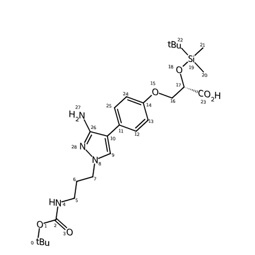 CC(C)(C)OC(=O)NCCCn1cc(-c2ccc(OC[C@H](O[Si](C)(C)C(C)(C)C)C(=O)O)cc2)c(N)n1